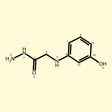 NNC(=O)CNc1cccc(O)c1